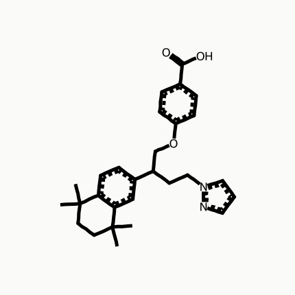 CC1(C)CCC(C)(C)c2cc(C(CCn3cccn3)COc3ccc(C(=O)O)cc3)ccc21